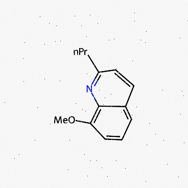 CCCc1ccc2cccc(OC)c2n1